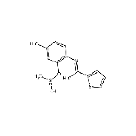 CC(=Nc1ccc(C)cc1O[SiH](C)C)c1cccs1